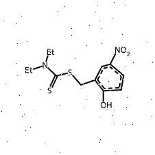 CCN(CC)C(=S)SCc1cc([N+](=O)[O-])ccc1O